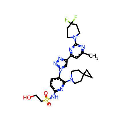 Cc1cc(-c2cn(-c3ccc(NS(=O)(=O)CCO)nc3N3CCC4(CC3)CC4)nn2)nc(N2CCC(F)(F)CC2)n1